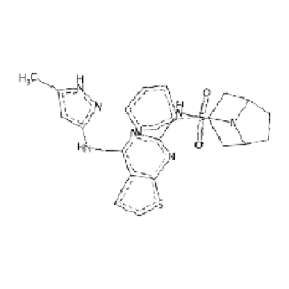 Cc1cc(Nc2nc(NC3CC4CCC(C3)N4S(=O)(=O)c3cccnc3)nc3sccc23)n[nH]1